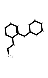 CCCC1CCC[C]=C1CC1CCCCC1